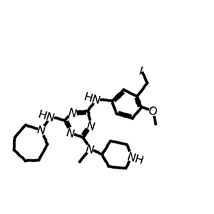 COc1ccc(Nc2nc(NN3CCCCCC3)nc(N(C)C3CCNCC3)n2)cc1CI